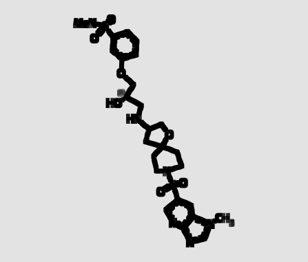 CNS(=O)(=O)c1cccc(OC[C@@H](O)CNC2COC3(CCN(S(=O)(=O)c4cnc5ncn(C)c5c4)CC3)C2)c1